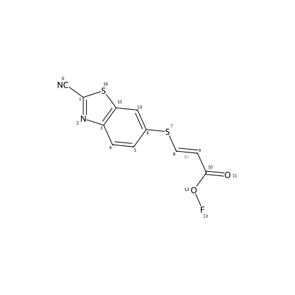 N#Cc1nc2ccc(S/C=C/C(=O)OF)cc2s1